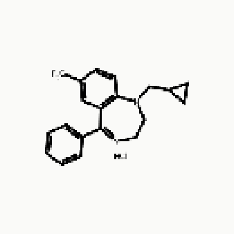 Cl.FC(F)(F)c1ccc2c(c1)C(c1ccccc1)=NCCN2CC1CC1